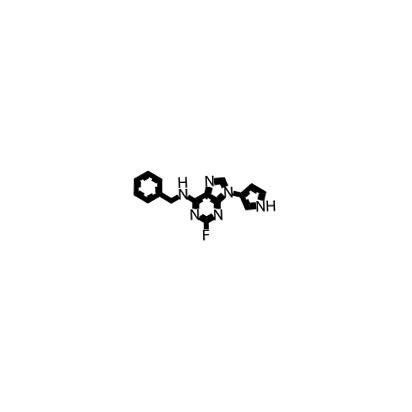 Fc1nc(NCc2ccccc2)c2ncn(-c3cc[nH]c3)c2n1